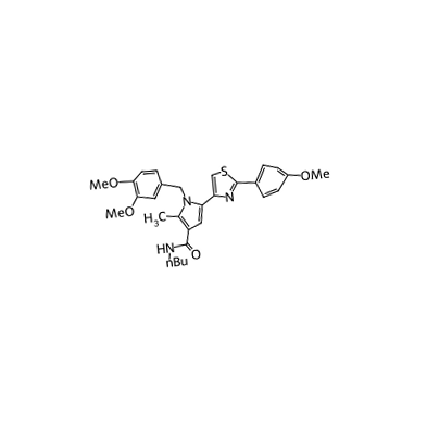 CCCCNC(=O)c1cc(-c2csc(-c3ccc(OC)cc3)n2)n(Cc2ccc(OC)c(OC)c2)c1C